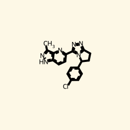 Cc1n[nH]c2ccc(-c3nnc4n3C(c3ccc(Cl)cc3)CC4)nc12